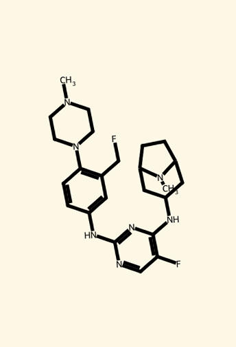 CN1CCN(c2ccc(Nc3ncc(F)c(NC4CC5CCC(C4)N5C)n3)cc2CF)CC1